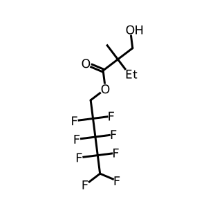 CCC(C)(CO)C(=O)OCC(F)(F)C(F)(F)C(F)(F)C(F)F